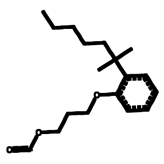 CCCCCC(C)(C)c1ccccc1OCCCO[C]=O